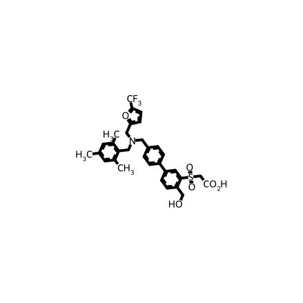 Cc1cc(C)c(CN(Cc2ccc(-c3ccc(CO)c(S(=O)(=O)CC(=O)O)c3)cc2)Cc2ccc(C(F)(F)F)o2)c(C)c1